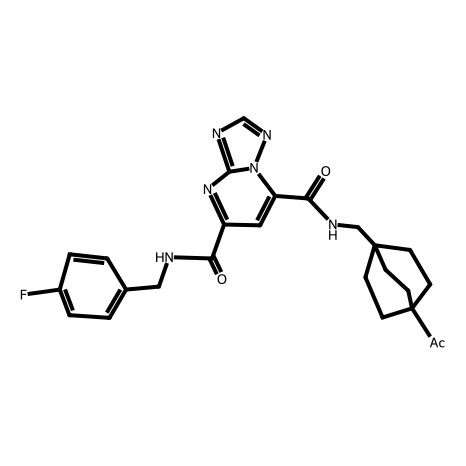 CC(=O)C12CCC(CNC(=O)c3cc(C(=O)NCc4ccc(F)cc4)nc4ncnn34)(CC1)CC2